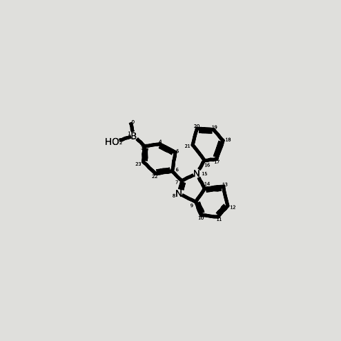 CB(O)c1ccc(-c2nc3ccccc3n2C2C=CC=CC2)cc1